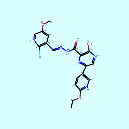 CCOc1ccc(-c2cnc(O)c(C(=O)N/N=C/c3cc(OC)cnc3F)n2)cn1